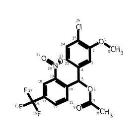 COc1cc(C(OC(C)=O)c2ccc(C(F)(F)F)cc2[N+](=O)[O-])ccc1Cl